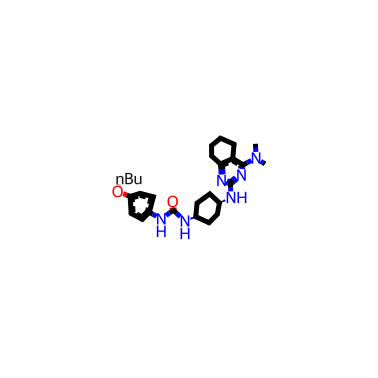 CCCCOc1ccc(NC(=O)N[C@H]2CC[C@@H](Nc3nc4c(c(N(C)C)n3)CCCC4)CC2)cc1